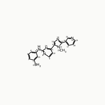 Bc1cccc(Nc2nccc(-c3cnc(-c4cccnc4)n3C)n2)c1